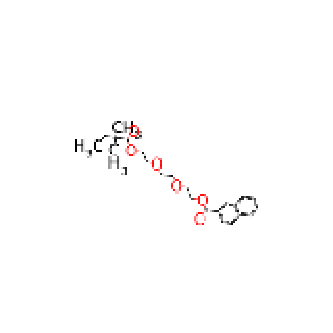 CCC(C)(C)C(=O)OCCOCCOCCOC(=O)c1ccc2ccccc2c1